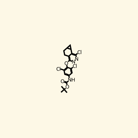 CC(C)(C)OC(=O)Nc1cc(Cl)c(Oc2nnc(Cl)c3c2CCC2CC32)c(Cl)c1